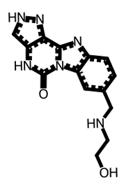 O=c1[nH]c2c[nH]nc2c2nc3ccc(CNCCO)cc3n12